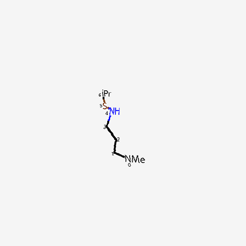 CNCCCNSC(C)C